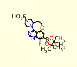 CC1(C)OB(c2cc3c4c(ncnc4c2F)N2CCN(C(=O)O)CC2CCO3)OC1(C)C